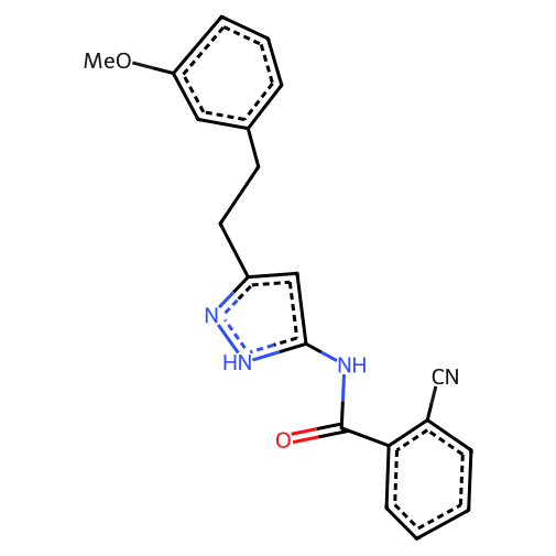 COc1cccc(CCc2cc(NC(=O)c3ccccc3C#N)[nH]n2)c1